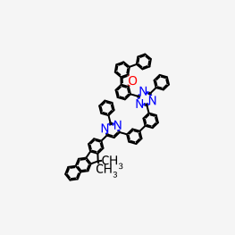 CC1(C)c2cc(-c3cc(-c4cccc(-c5cccc(-c6nc(-c7ccccc7)nc(-c7cccc8c7oc7c(-c9ccccc9)cccc78)n6)c5)c4)nc(-c4ccccc4)n3)ccc2-c2cc3ccccc3cc21